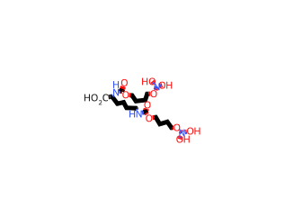 O=C(NCCCCC(NC(=O)OCCCCON(O)O)C(=O)O)OCCCCON(O)O